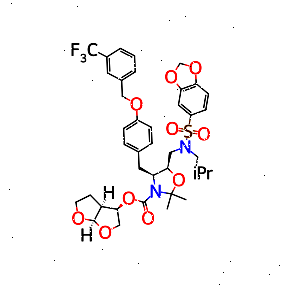 CC(C)CN(C[C@H]1OC(C)(C)N(C(=O)O[C@H]2CO[C@H]3OCC[C@H]32)[C@H]1Cc1ccc(OCc2cccc(C(F)(F)F)c2)cc1)S(=O)(=O)c1ccc2c(c1)OCO2